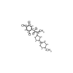 CC1CCN(C2CCC(N(C)S(=O)(=O)c3cc(Cl)c(Cl)cc3Cl)C2)CC1